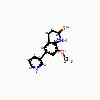 COc1cc(-c2cccnc2)cc2c1NC(=S)CC2